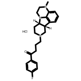 CN1CCN2c3c(cccc31)[C@@H]1CN(CCCC(=O)c3ccc(F)cc3)CC[C@@H]12.Cl